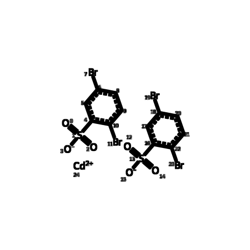 O=S(=O)([O-])c1cc(Br)ccc1Br.O=S(=O)([O-])c1cc(Br)ccc1Br.[Cd+2]